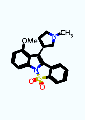 COc1cccc2c1c([C@H]1CCN(C)C1)c1n2S(=O)(=O)c2ccccc2-1